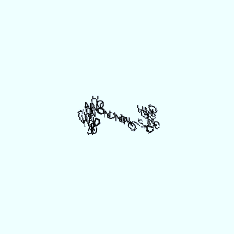 COc1cc(N2CCC(N3CCN(C(=O)CCSc4cccc5c4CN(C4CCC(=O)NC4=O)C5=O)CC3)CC2)ccc1Nc1ncc(Cl)c(Nc2ccccc2P(=O)(OC)OC)n1